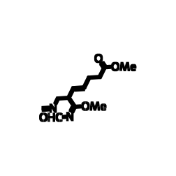 C=NCC(/C=C/CCC(=O)OC)/C(=N\C=O)OC